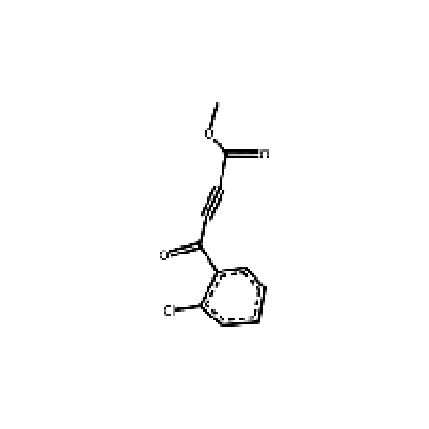 COC(=O)C#CC(=O)c1ccccc1Cl